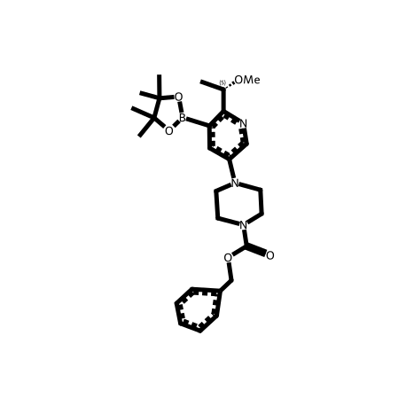 CO[C@@H](C)c1ncc(N2CCN(C(=O)OCc3ccccc3)CC2)cc1B1OC(C)(C)C(C)(C)O1